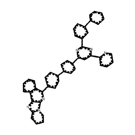 c1ccc(-c2cccc(-c3nc(-c4ccc(-c5ccc(-c6nc7c(nc8ccccn87)c7ccccc67)cc5)cc4)cc(-c4ccccn4)n3)c2)cc1